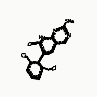 CSc1ncc2cc(-c3c(Cl)cccc3Cl)c(=O)[nH]c2n1